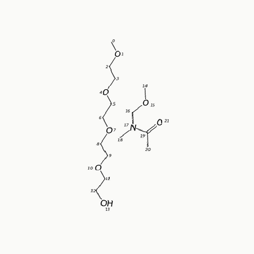 COCCOCCOCCOCCO.COCN(C)C(C)=O